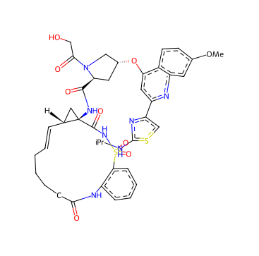 COc1ccc2c(O[C@@H]3C[C@@H](C(=O)N[C@]45C[C@H]4/C=C/CCCCC(=O)Nc4ccccc4S(=O)(=O)NC5=O)N(C(=O)CO)C3)cc(-c3csc(NC(C)C)n3)nc2c1